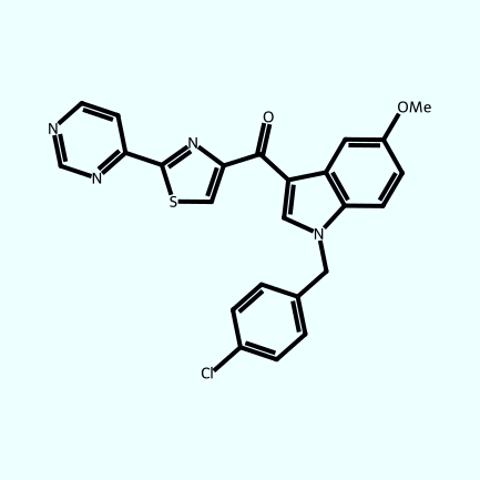 COc1ccc2c(c1)c(C(=O)c1csc(-c3ccncn3)n1)cn2Cc1ccc(Cl)cc1